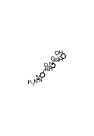 Nc1nc2ccc(CNC(=O)c3cccc(C(=O)N[C@H](CO)c4ccccc4)n3)cc2s1